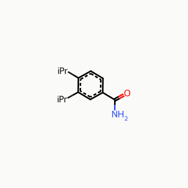 CC(C)c1ccc(C(N)=O)cc1C(C)C